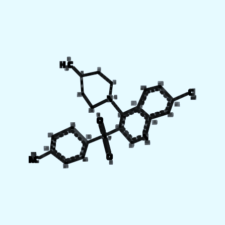 CC1CCN(c2c(S(=O)(=O)c3ccc(C#N)cc3)cnc3cc(Cl)ccc23)CC1